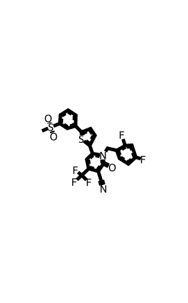 CS(=O)(=O)c1cccc(-c2ccc(-c3cc(C(F)(F)F)c(C#N)c(=O)n3Cc3ccc(F)cc3F)s2)c1